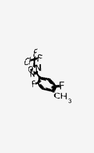 Cc1cc(F)c(-c2noc(C(F)(F)Cl)n2)cc1F